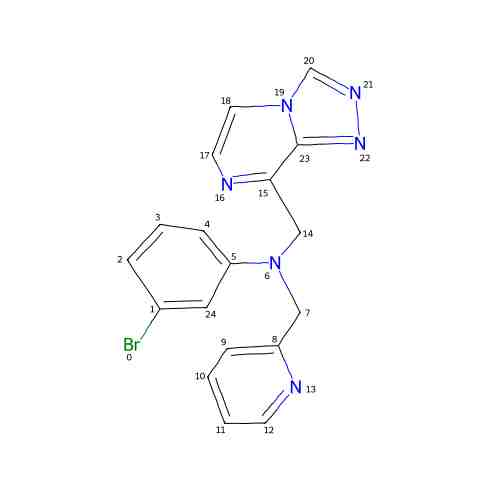 Brc1cccc(N(Cc2ccccn2)Cc2nccn3cnnc23)c1